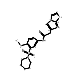 CCOc1ccc(NC(=O)Cc2cn3ccsc3n2)cc1S(=O)(=O)N1CCCCC1